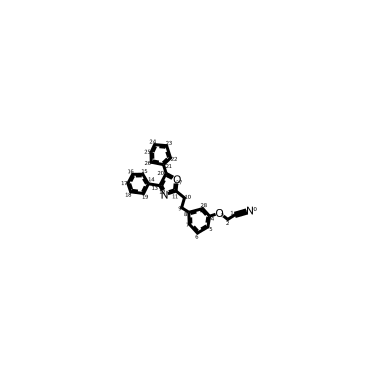 N#CCOc1cccc(CCc2nc(-c3ccccc3)c(-c3ccccc3)o2)c1